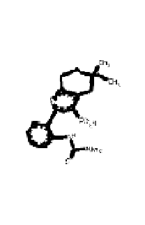 CNC(=O)Nc1ccccc1-c1sc2c(c1C(=O)O)CC(C)(C)CC2